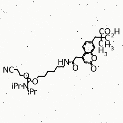 CC(C)N(C(C)C)P(OCCC#N)OCCCCCCNC(=O)Cc1cc(=O)oc2cc(CC(C)(C)C(=O)O)ccc12